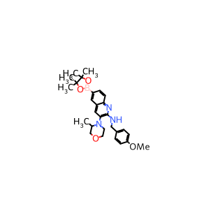 COc1ccc(CNc2nc3ccc(B4OC(C)(C)C(C)(C)O4)cc3cc2N2CCOCC2C)cc1